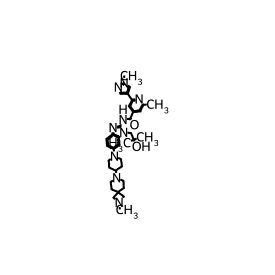 Cc1cc(C(=O)Nc2nc3ccc(N4CCC(N5CCC6(CC5)CN(C)C6)CC4)cc3n2CC(C)(C)O)cc(-c2cnn(C)c2)n1